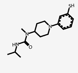 CC(C)NC(=O)N(C)C1CCN(c2cccc(S)c2)CC1